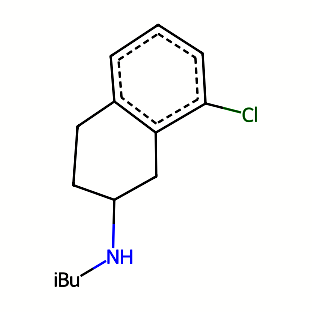 CCC(C)NC1CCc2cccc(Cl)c2C1